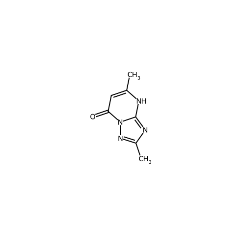 Cc1nc2[nH]c(C)cc(=O)n2n1